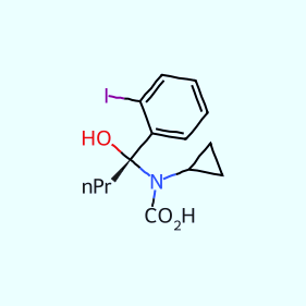 CCC[C@@](O)(c1ccccc1I)N(C(=O)O)C1CC1